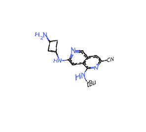 CC(C)(C)Nc1nc(C#N)cc2cnc(NC3CC(N)C3)cc12